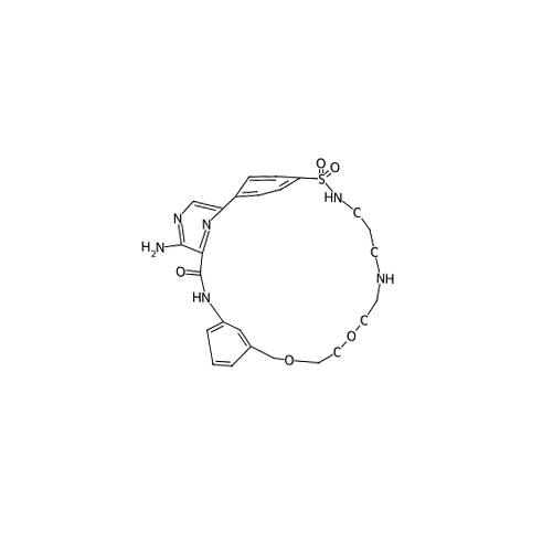 Nc1ncc2nc1C(=O)Nc1cccc(c1)COCCOCCNCCCNS(=O)(=O)c1ccc-2cc1